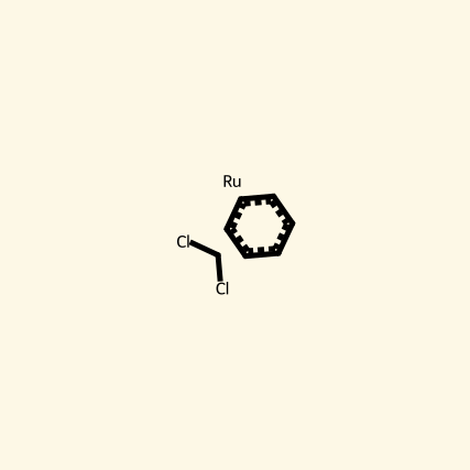 ClCCl.[Ru].c1ccccc1